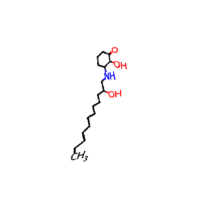 CCCCCCCCCCC(O)CNC1CCCC(=O)C1O